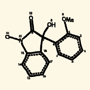 COc1ccccc1C1(O)C(=O)N(Cl)c2ccccc21